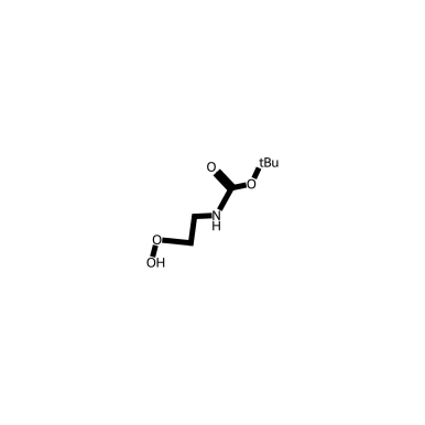 CC(C)(C)OC(=O)NCCOO